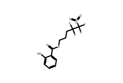 O=C(OCCCC(F)(F)C(F)(F)[SH](=O)=O)c1ccccc1O